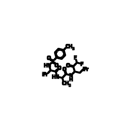 Cc1ccc(S(=O)(=O)NC(C(=O)NC(C)C(=O)NC(CC(C)C)C(=O)C(F)F)C(C)C)cc1